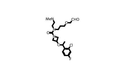 CNCCN(CCCOCC=O)C(=O)N1CC(OC(C)c2ccc(F)cc2Cl)C1